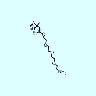 CC/C(=C\C(C)(C)/N=C\S)OCCOCCOCCOCCN